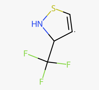 FC(F)(F)C1[C]=CSN1